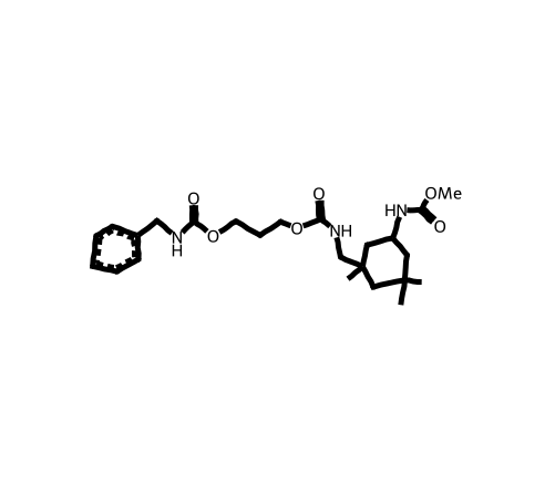 COC(=O)NC1CC(C)(C)CC(C)(CNC(=O)OCCCOC(=O)NCc2ccccc2)C1